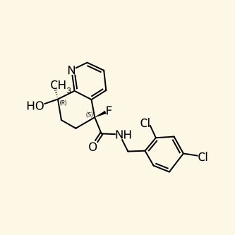 C[C@@]1(O)CC[C@@](F)(C(=O)NCc2ccc(Cl)cc2Cl)c2cccnc21